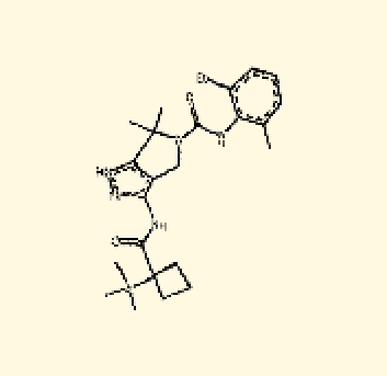 CCc1cccc(C)c1NC(=O)N1Cc2c(NC(=O)C3(S(C)(C)C)CCC3)n[nH]c2C1(C)C